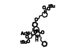 CC(=O)N[C@@H](CC(=O)OC(C)(C)C)C(=O)N[C@@H](CCc1ccccc1)C(=O)NCc1cc(OCCC2CCCN(C(=O)OC(C)(C)C)C2)ccc1F